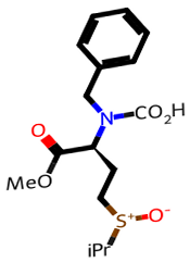 COC(=O)[C@H](CC[S+]([O-])C(C)C)N(Cc1ccccc1)C(=O)O